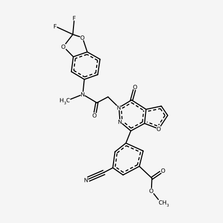 COC(=O)c1cc(C#N)cc(-c2nn(CC(=O)N(C)c3ccc4c(c3)OC(F)(F)O4)c(=O)c3ccoc23)c1